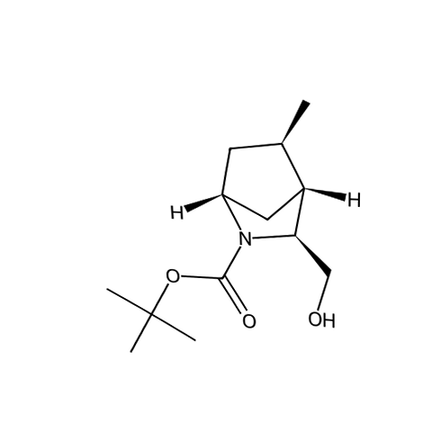 C[C@@H]1C[C@@H]2C[C@H]1[C@@H](CO)N2C(=O)OC(C)(C)C